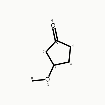 COC1CCC(=O)C1